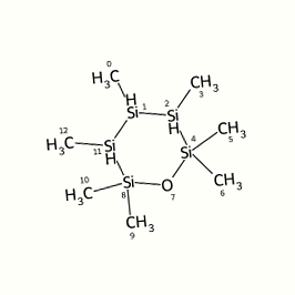 C[SiH]1[SiH](C)[Si](C)(C)O[Si](C)(C)[SiH]1C